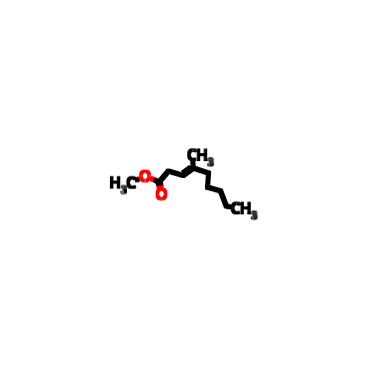 CCCCCC(C)=CCC(=O)OC